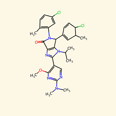 COc1nc(N(C)C)ncc1-c1nc2c(n1C(C)C)C(C1=CC(C)C(Cl)C=C1)N(c1cc(Cl)ccc1C)C2=O